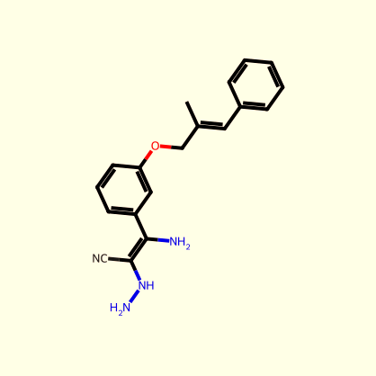 C/C(=C\c1ccccc1)COc1cccc(/C(N)=C(\C#N)NN)c1